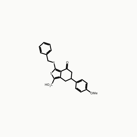 COc1ccc(C2CC(=O)c3c(SCc4ccccc4)sc(C(=O)O)c3C2)cc1